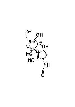 O=CNc1ncn([C@@]2(O)O[C@H](CO)[C@@H](O)[C@H]2O)c1O